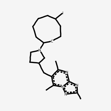 Cc1nc2nc(C)c(CC3CCN(C4CCCCC(I)CCC4)C3)c(C)n2n1